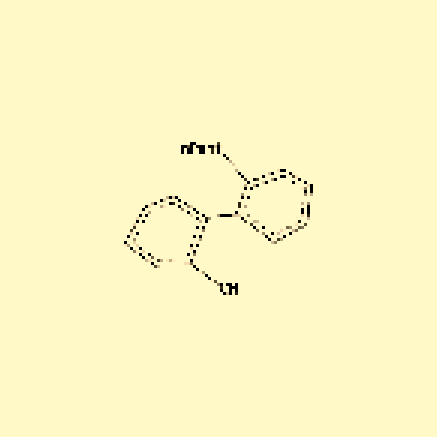 CCCCCc1ccccc1-c1ccccc1C#N